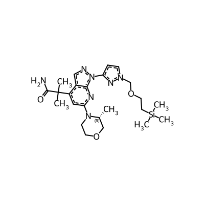 C[C@@H]1COCCN1c1cc(C(C)(C)C(N)=O)c2cnn(-c3ccn(COCC[Si](C)(C)C)n3)c2n1